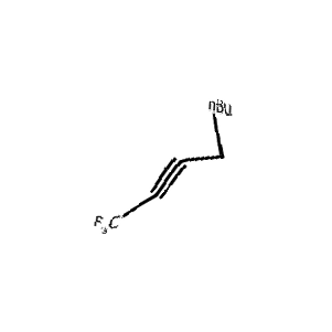 [CH2]CCCCC#CC(F)(F)F